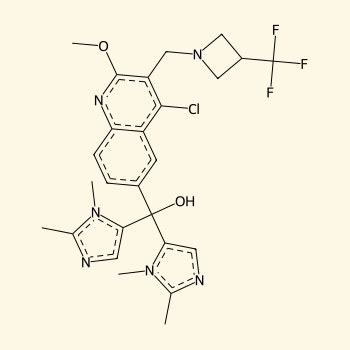 COc1nc2ccc(C(O)(c3cnc(C)n3C)c3cnc(C)n3C)cc2c(Cl)c1CN1CC(C(F)(F)F)C1